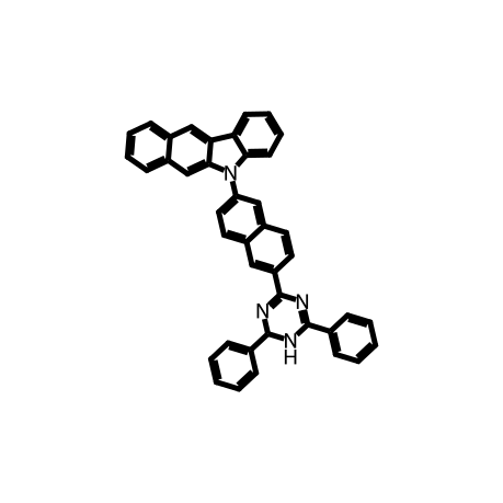 c1ccc(C2=NC(c3ccc4cc(-n5c6ccccc6c6cc7ccccc7cc65)ccc4c3)=NC(c3ccccc3)N2)cc1